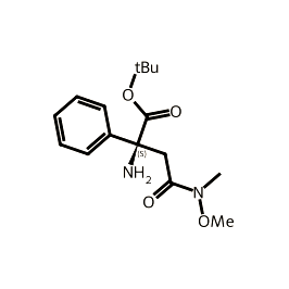 CON(C)C(=O)C[C@@](N)(C(=O)OC(C)(C)C)c1ccccc1